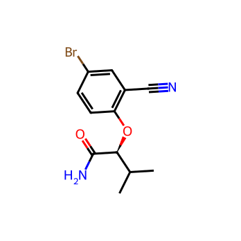 CC(C)[C@H](Oc1ccc(Br)cc1C#N)C(N)=O